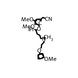 COc1cccc(OCCCN(C)CCCC(Oc2cc(CC#N)cc(OC)c2OC)C(C)C)c1